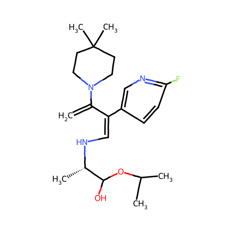 C=C(/C(=C\N[C@@H](C)C(O)OC(C)C)c1ccc(F)nc1)N1CCC(C)(C)CC1